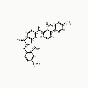 COc1ccc(CN2Cc3cc(Nc4ncnc(-c5ccc(C)cc5)c4OC)ccc3C2=O)c(OC)c1